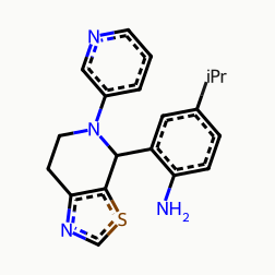 CC(C)c1ccc(N)c(C2c3scnc3CCN2c2cccnc2)c1